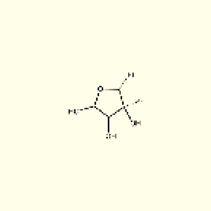 CC[C@H]1OC(O)C(O)[C@]1(C)O